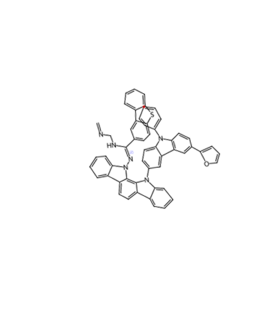 C=NCN/C(=N\n1c2ccccc2c2ccc3c4ccccc4n(-c4ccc5c(c4)c4cc(-c6ccco6)ccc4n5-c4ccccc4)c3c21)c1ccc2sc3ccccc3c2c1